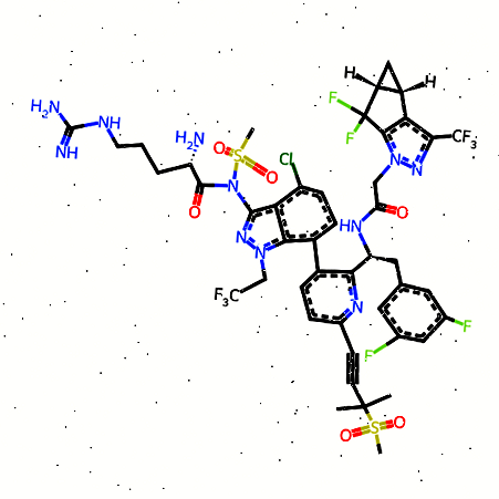 CC(C)(C#Cc1ccc(-c2ccc(Cl)c3c(N(C(=O)[C@@H](N)CCCNC(=N)N)S(C)(=O)=O)nn(CC(F)(F)F)c23)c([C@H](Cc2cc(F)cc(F)c2)NC(=O)Cn2nc(C(F)(F)F)c3c2C(F)(F)[C@@H]2C[C@H]32)n1)S(C)(=O)=O